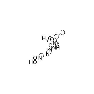 COc1ccc(C2CCCCC2)cc1-c1csc(NC(=O)N2CCN(CC3CCCN(CC(=O)O)C3)CC2)n1